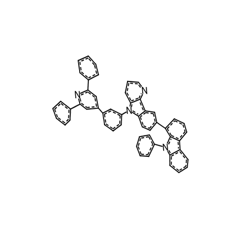 c1ccc(-c2cc(-c3cccc(-n4c5ccc(-c6cccc7c8ccccc8n(-c8ccccc8)c67)cc5c5ncccc54)c3)cc(-c3ccccc3)n2)cc1